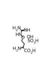 N=C(N)NOCC[C@H](N)C(=O)O.O=S(=O)(O)O